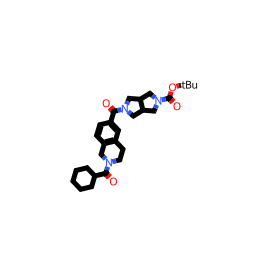 CC(C)(C)OC(=O)N1CC2CN(C(=O)c3ccc4c(c3)CCN(C(=O)C3CCCCC3)C4)CC2C1